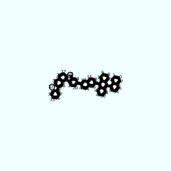 c1ccc2c(-c3c4ccccc4c(-c4ccc5cc(-c6ccc7c(c6)oc6ccc8cc9oc%10ccccc%10c9cc8c67)ccc5c4)c4ccccc34)cccc2c1